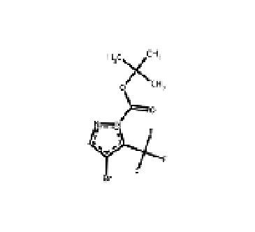 CC(C)(C)OC(=O)n1ncc(Br)c1C(F)(F)F